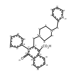 O=C(O)c1c(CN2CCN(Cc3ccccn3)CC2)n(-c2ccccc2)c(=O)c2ccccc12